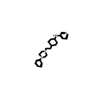 c1ccc(N2CCN(CCC3CCC(Nc4cccnc4)CC3)CC2)cc1